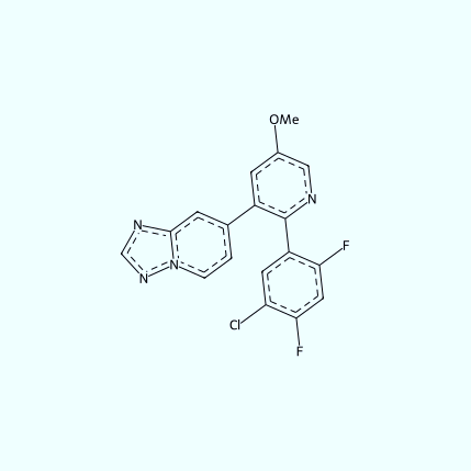 COc1cnc(-c2cc(Cl)c(F)cc2F)c(-c2ccn3ncnc3c2)c1